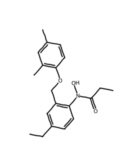 CCC(=O)N(O)c1ccc(CC)cc1COc1ccc(C)cc1C